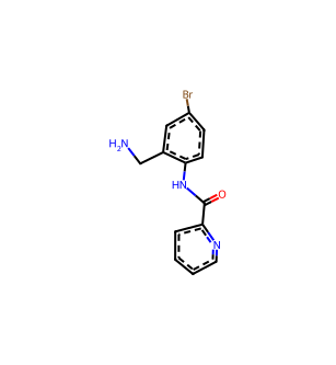 NCc1cc(Br)ccc1NC(=O)c1ccccn1